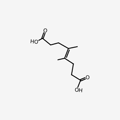 CC(CCC(=O)O)=C(C)CCC(=O)O